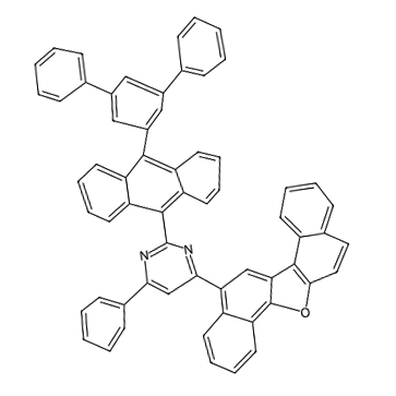 c1ccc(-c2cc(-c3ccccc3)cc(-c3c4ccccc4c(-c4nc(-c5ccccc5)cc(-c5cc6c(oc7ccc8ccccc8c76)c6ccccc56)n4)c4ccccc34)c2)cc1